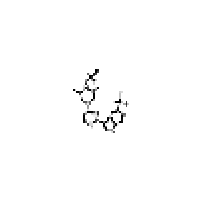 CC1CN(c2ccnc(-c3cnc4ccc(C(F)(F)F)cn34)n2)CC(C)N1CC(F)(F)F